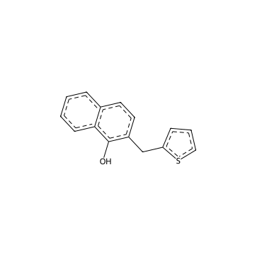 Oc1c(Cc2cccs2)ccc2ccccc12